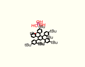 CC(C)(C)c1ccc(-c2cc(-c3ccc(C(C)(C)C)cc3C(C)(C)C)c(-c3ccc(C(C)(C)C)cc3C(C)(C)C)c(-c3ccc(C(C)(C)C)cc3C(C)(C)C)c2-c2ccccc2)c(C(C)(C)C)c1.OP(O)O